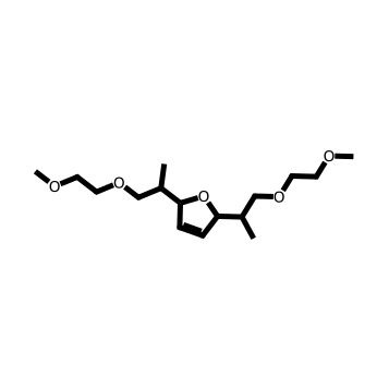 COCCOCC(C)C1C=CC(C(C)COCCOC)O1